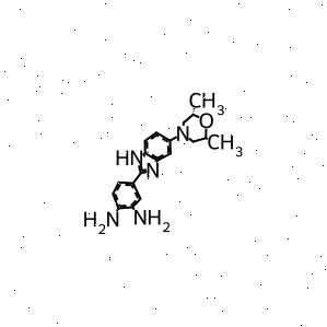 C[C@@H]1CN(c2ccc3[nH]c(-c4ccc(N)c(N)c4)nc3c2)C[C@H](C)O1